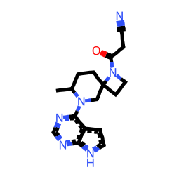 CC1CCC2(CCN2C(=O)CC#N)CN1c1ncnc2[nH]ccc12